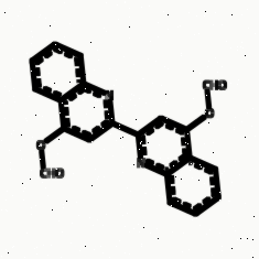 O=COc1cc(-c2cc(OC=O)c3ccccc3n2)nc2ccccc12